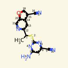 CC(Sc1nc(N)cc(C#N)n1)c1cc2c(C#N)coc2cn1